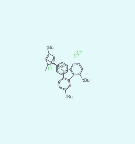 CC1[C]([Zr+2][CH]2c3ccc(C(C)(C)C)cc3-c3c2cccc3C(C)(C)C)=C2C(C(C)(C)C)=C1C2(Cl)c1ccccc1.[Cl-].[Cl-]